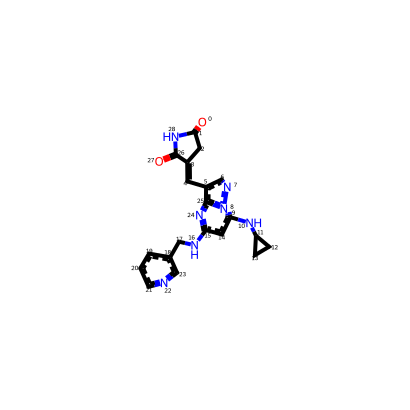 O=C1C/C(=C\c2cnn3c(NC4CC4)cc(NCc4cccnc4)nc23)C(=O)N1